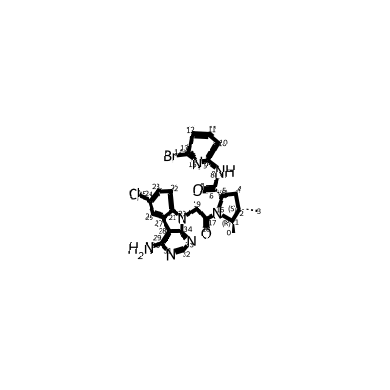 C[C@@H]1[C@@H](C)C[C@@H](C(=O)Nc2cccc(Br)n2)N1C(=O)Cn1c2ccc(Cl)cc2c2c(N)ncnc21